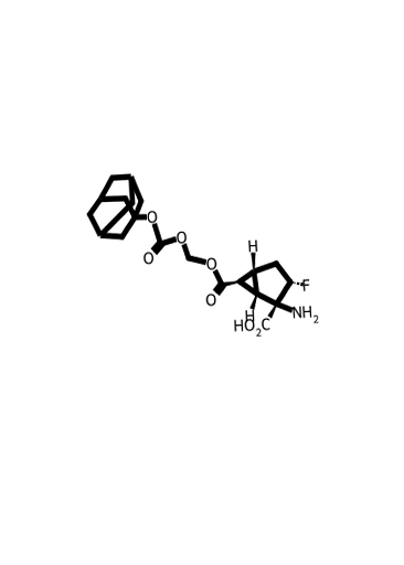 N[C@]1(C(=O)O)[C@H]2[C@@H](C[C@@H]1F)[C@@H]2C(=O)OCOC(=O)OC12CC3CC(CC(C3)C1)C2